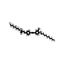 CCCCCCCCCCSc1ccc(C#Cc2ccc(C=CC(=S)OCCCCCCCC)cc2)cc1F